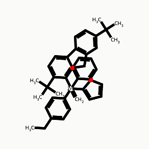 [CH2]=[Zr]([C]1=CC=CC1)([c]1ccccc1)([c]1ccc(CC)cc1)[c]1c(C(C)(C)C)ccc2c1Cc1cc(C(C)(C)C)ccc1-2